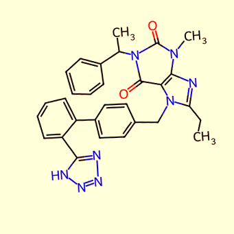 CCc1nc2c(c(=O)n(C(C)c3ccccc3)c(=O)n2C)n1Cc1ccc(-c2ccccc2-c2nnn[nH]2)cc1